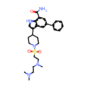 CN(C)CCN(C)CCS(=O)(=O)N1CCC(c2c[nH]c3c(C(N)=O)cc(-c4ccccc4)cc23)CC1